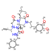 C#CCN1CC(=O)N2[C@@H](CC(C)C)C(=O)N(CCc3ccc(OC)c(OC)c3)C[C@@H]2N1C(=O)NCc1ccccc1